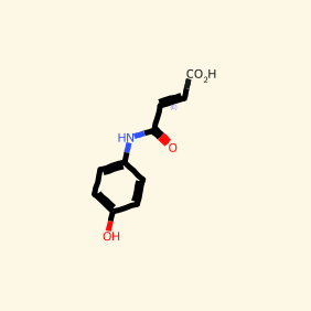 O=C(O)/C=C/C(=O)Nc1ccc(O)cc1